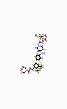 CC(C)(C)OC(=O)CN1CCC(Nc2cccc(Sc3ccc(C=CC(=O)N4CCOCC4)c(C(F)(F)F)c3C(F)(F)F)c2)CC1